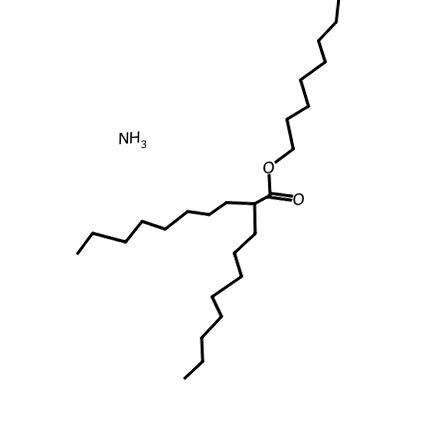 CCCCCCCCOC(=O)C(CCCCCCCC)CCCCCCCC.N